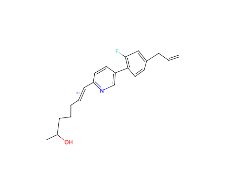 C=CCc1ccc(-c2ccc(/C=C/CCCC(C)O)nc2)c(F)c1